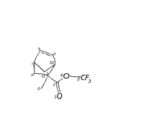 CC1(C(=O)OC(F)(F)F)CC2C=CC1C2